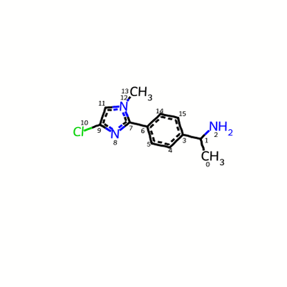 CC(N)c1ccc(-c2nc(Cl)cn2C)cc1